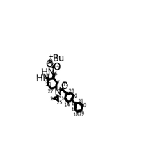 CC(C)(C)OC(=O)N/C=C1/CC(N(C(=O)c2ccc(-c3ccccc3)cc2)C2CC2)CCC1=N